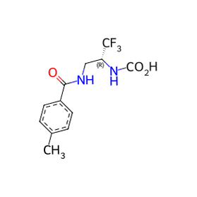 Cc1ccc(C(=O)NC[C@@H](NC(=O)O)C(F)(F)F)cc1